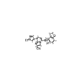 CCn1cc(-c2cnc(NCc3c(F)ccc4c3CCO4)n3cc(C#N)nc23)cn1